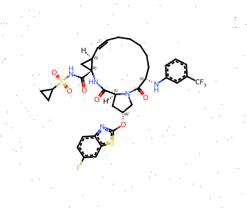 O=C1N[C@]2(C(=O)NS(=O)(=O)C3CC3)C[C@H]2/C=C\CCCCC[C@H](Nc2cccc(C(F)(F)F)c2)C(=O)N2C[C@H](Oc3nc4ccc(F)cc4s3)C[C@@H]12